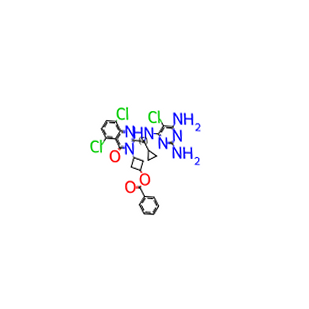 Nc1nc(N)c(Cl)c(N[C@H](c2nc3c(Cl)ccc(Cl)c3c(=O)n2[C@H]2C[C@H](OC(=O)c3ccccc3)C2)C2CC2)n1